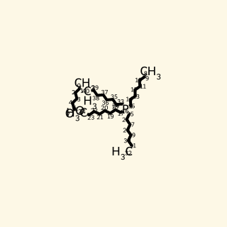 CCCCCC(=O)[O-].CCCCCCCC[P+](CCCCCCCC)(CCCCCCCC)CCCCCCCC